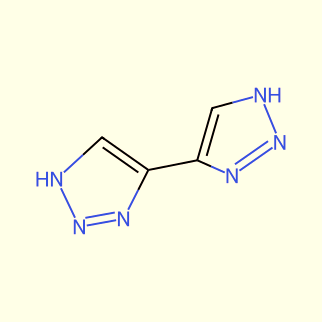 c1[nH]nnc1-c1c[nH]nn1